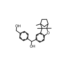 CC12CCC(C1)C1(C)Oc3ccc(C(O)c4ccc(CO)cc4)cc3C21C